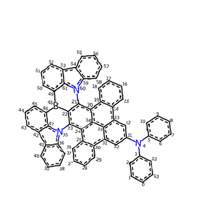 c1ccc(N(c2ccccc2)c2cc3c4ccccc4c4c5c6c(c7c8ccccc8c(c2)c3c47)-n2c3ccccc3c3cccc(c32)B6c2cccc3c4ccccc4n-5c23)cc1